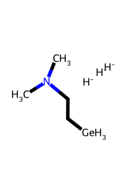 CN(C)C[CH2][GeH3].[H-].[H-].[H-]